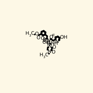 CCOC(=O)c1cccc2c1OB(O)[C@@H](NC(=O)C(NC(=O)N1CCN(CC)C(=O)C1=O)c1ncc(O)cc1F)C2